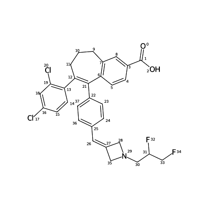 O=C(O)c1ccc2c(c1)CCCC(c1ccc(Cl)cc1Cl)=C2c1ccc(C=C2CN(CC(F)CF)C2)cc1